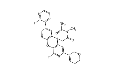 CN1C(=O)CC2(N=C1N)c1cc(-c3cccnc3F)ccc1Oc1c2cc(C2=CCCOC2)nc1F